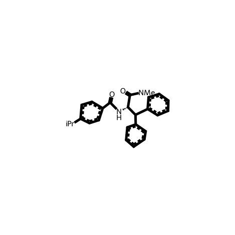 CNC(=O)[C@@H](NC(=O)c1ccc(C(C)C)cc1)C(c1ccccc1)c1ccccc1